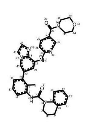 Cc1c(NC(=O)N2CCCc3ccccc32)cccc1-c1cc(Nc2ccc(C(=O)N3CCOCC3)cn2)c2nccn2c1